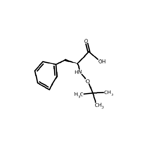 CC(C)(C)ON[C@@H](Cc1ccccc1)C(=O)O